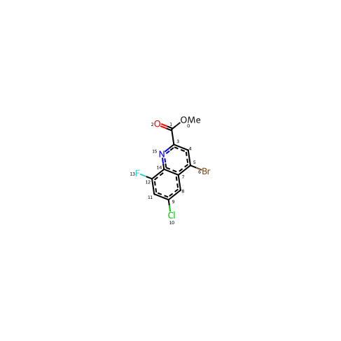 COC(=O)c1cc(Br)c2cc(Cl)cc(F)c2n1